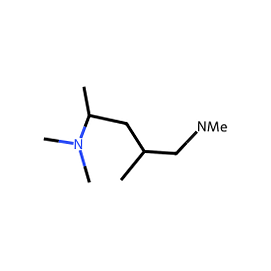 CNCC(C)CC(C)N(C)C